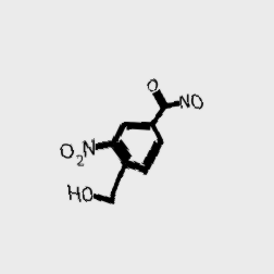 O=NC(=O)c1ccc(CO)c([N+](=O)[O-])c1